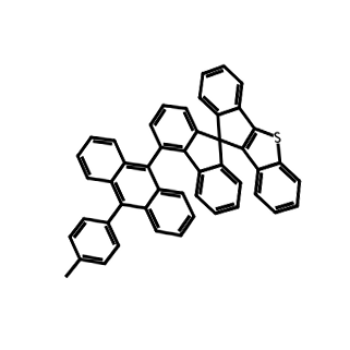 Cc1ccc(-c2c3ccccc3c(-c3cccc4c3-c3ccccc3C43c4ccccc4-c4sc5ccccc5c43)c3ccccc23)cc1